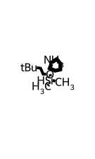 C[SiH](C)OCCC(C)(C)C.N.c1ccccc1